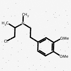 COc1ccc(CCN(C)C(C)CCl)cc1OC